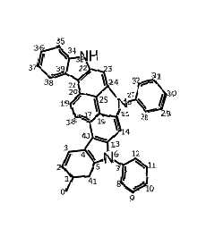 CC1C=Cc2c(n(-c3ccccc3)c3cc4c5c(ccc6c7c(cc(c65)n4-c4ccccc4)[nH]c4ccccc47)c23)C1